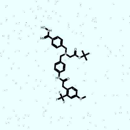 COc1ccc(CC(=O)Nc2ccc(CN(CC(=O)OC(C)(C)C)Cc3ccc(C(=N)NO)cc3)cc2)c(C(F)(F)F)c1